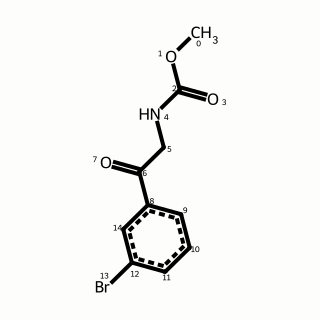 COC(=O)NCC(=O)c1cccc(Br)c1